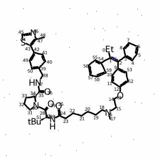 CC/C(=C(\c1ccccc1)c1ccc(OCCN(C)CCCCCCC(=O)N[C@H](C(=O)N2CCC[C@H]2C(=O)NCc2ccc(-c3scnc3C)cc2)C(C)(C)C)cc1)c1ccccc1